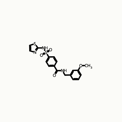 COc1cccc(CNC(=O)c2ccc(S(=O)(=O)Nc3nccs3)cc2)c1